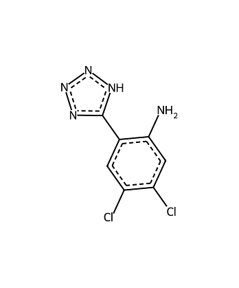 Nc1cc(Cl)c(Cl)cc1-c1nnn[nH]1